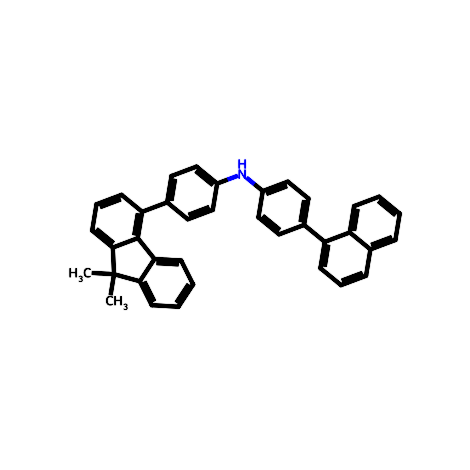 CC1(C)c2ccccc2-c2c(-c3ccc(Nc4ccc(-c5cccc6ccccc56)cc4)cc3)cccc21